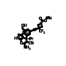 Cc1n[nH]c2c1[C@](c1cc(C#CC3(C(F)(F)F)CN(C(=O)OC(C)(C)C)C3)cc(CO)c1)(C(C)C)C(C#N)=C(N)O2